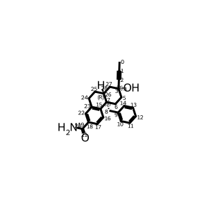 CC#C[C@@]1(O)CC[C@@]2(Cc3ccccc3)c3ccc(C(N)=O)cc3CC[C@@H]2C1